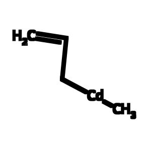 C=C[CH2][Cd][CH3]